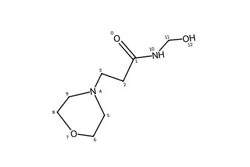 O=C(CCN1CCOCC1)NCO